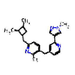 CCc1nc(CC2CC(C)C2C)ccc1Cc1ccnc(-c2cnn(C)c2)c1